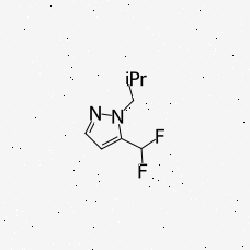 CC(C)Cn1nccc1C(F)F